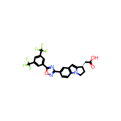 O=C(O)C[C@@H]1CCn2c1cc1cc(-c3noc(-c4cc(C(F)(F)F)cc(C(F)(F)F)c4)n3)ccc12